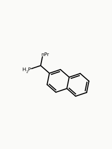 CCCC(P)c1ccc2ccccc2c1